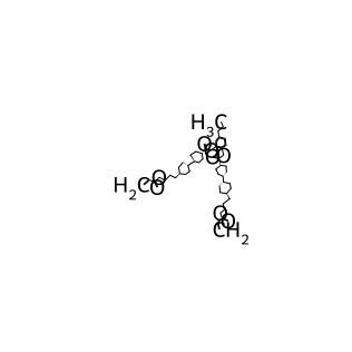 C=CC(=O)OCCC[C@H]1CC[C@H]([C@H]2CC[C@H](C(=O)Oc3ccc(CCC)cc3OC(=O)[C@H]3CC[C@H]([C@H]4CC[C@H](CCCOC(=O)C=C)CC4)CC3)CC2)CC1